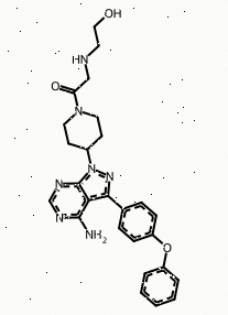 Nc1ncnc2c1c(-c1ccc(Oc3ccccc3)cc1)nn2C1CCN(C(=O)CNCCO)CC1